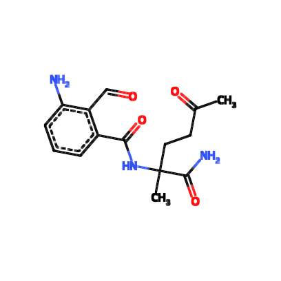 CC(=O)CCC(C)(NC(=O)c1cccc(N)c1C=O)C(N)=O